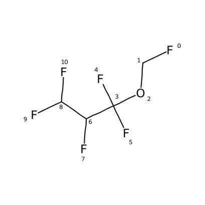 FCOC(F)(F)C(F)C(F)F